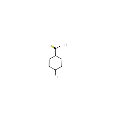 CCC1CCC(C(C)=S)CC1